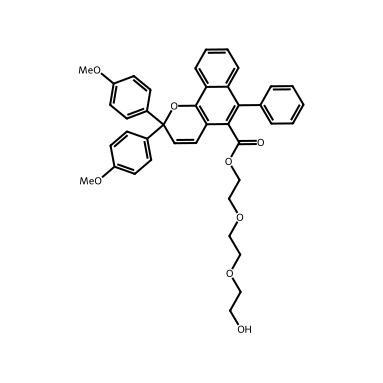 COc1ccc(C2(c3ccc(OC)cc3)C=Cc3c(C(=O)OCCOCCOCCO)c(-c4ccccc4)c4ccccc4c3O2)cc1